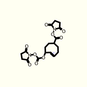 O=C(OC1/C=C/CCC(C(=O)ON2C(=O)CCC2=O)CC1)ON1C(=O)CCC1=O